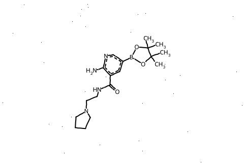 CC1(C)OB(c2cnc(N)c(C(=O)NCCN3CCCC3)c2)OC1(C)C